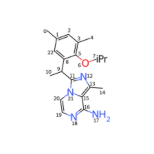 Cc1cc(C)c(OC(C)C)c(C(C)c2nc(C)c3c(N)nccn23)c1